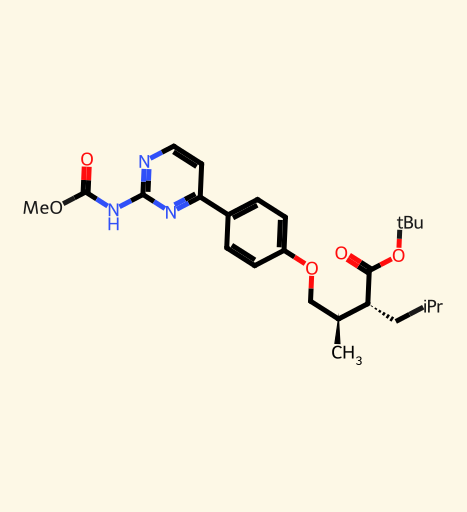 COC(=O)Nc1nccc(-c2ccc(OC[C@H](C)[C@@H](CC(C)C)C(=O)OC(C)(C)C)cc2)n1